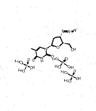 Cc1cn([C@H]2C[C@H](N=[N+]=[N-])[C@@H](CO)O2)c(=O)[nH]c1=O.O=P(O)(O)O.O=P(O)(O)O.O=P(O)(O)O